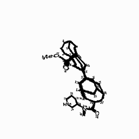 COC(=O)C12CCCC3CC1CC(C14CC5CC(C(=O)N(C)C6CCCNC6)CC(C1)C(C5)C4)(C3)C2